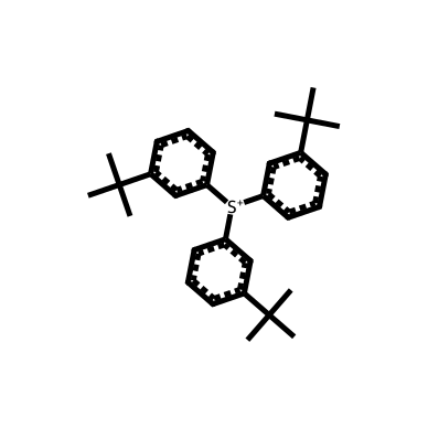 CC(C)(C)c1cccc([S+](c2cccc(C(C)(C)C)c2)c2cccc(C(C)(C)C)c2)c1